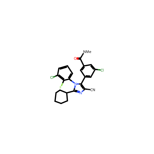 CNC(=O)c1cc(Cl)cc(-c2c(C#N)nc(C3CCCCC3)n2-c2cccc(Cl)c2F)c1